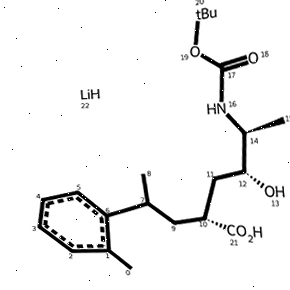 Cc1ccccc1C(C)C[C@H](C[C@@H](O)[C@H](C)NC(=O)OC(C)(C)C)C(=O)O.[LiH]